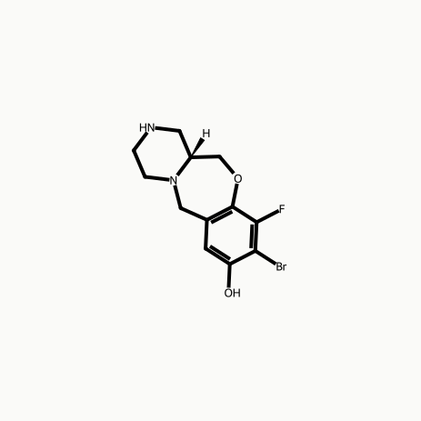 Oc1cc2c(c(F)c1Br)OC[C@H]1CNCCN1C2